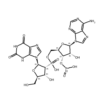 Nc1ncnc2c1ncn2[C@@H]1O[C@H](COP(=O)(O)[C@@H]2[C@H](O)[C@@H](CO)O[C@H]2n2cnc3c(=O)[nH]c(=O)[nH]c32)[C@@H](O[PH](=O)O)[C@H]1O